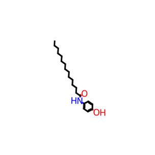 CCCCCCCCCCCCCCC(=O)Nc1ccc(O)cc1